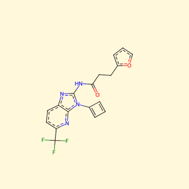 O=C(CCc1ccco1)Nc1nc2ccc(C(F)(F)F)nc2n1C1=CC=C1